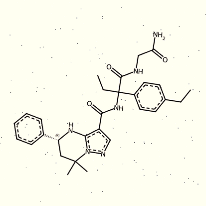 CCc1ccc(C(CC)(NC(=O)c2cnn3c2N[C@@H](c2ccccc2)CC3(C)C)C(=O)NCC(N)=O)cc1